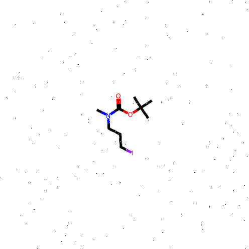 CN(CCCI)C(=O)OC(C)(C)C